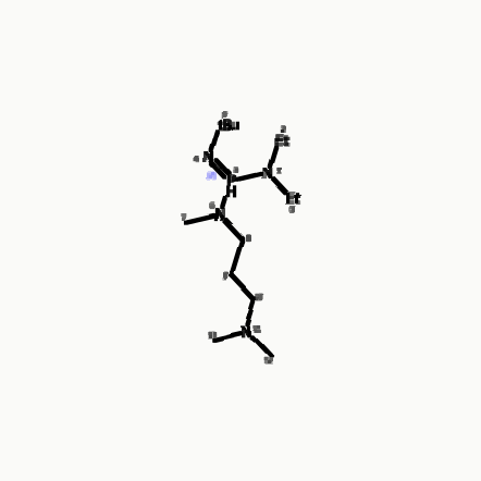 CCN(CC)/[PH](=N\C(C)(C)C)N(C)CCCN(C)C